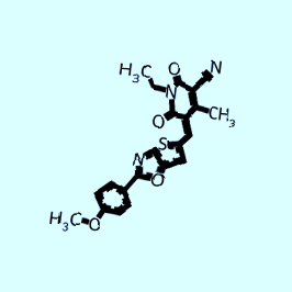 CCN1C(=O)C(C#N)=C(C)/C(=C/c2cc3oc(-c4ccc(OC)cc4)nc3s2)C1=O